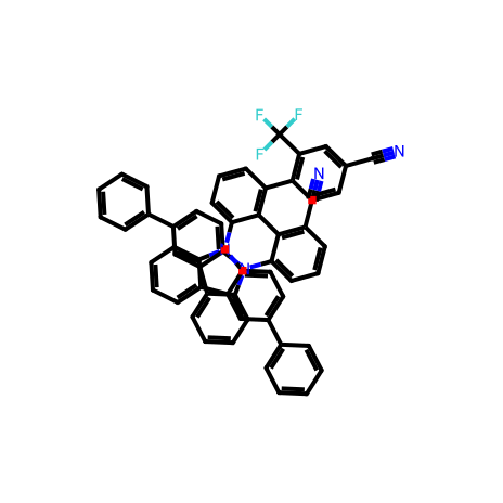 N#Cc1ccc(-c2cccc(-n3c4ccccc4c4cc(-c5ccccc5)ccc43)c2-c2c(C#N)cccc2-n2c3ccccc3c3cc(-c4ccccc4)ccc32)c(C(F)(F)F)c1